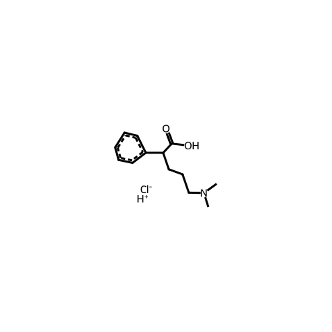 CN(C)CCCC(C(=O)O)c1ccccc1.[Cl-].[H+]